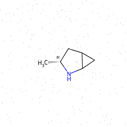 C[C@@H]1CC2CC2N1